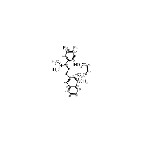 Cc1cc(CCC(c2ccc(F)c(F)c2)N(C)C)cc2ccccc12.O=C(O)/C=C\C(=O)O